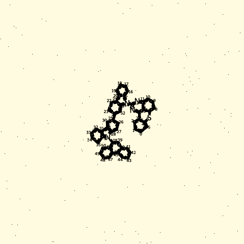 c1ccc2c(c1)Sc1cccc3nc(-n4c5ccccc5c5ccc(-c6ccc7c(c6)c6ccccc6n7-c6cc7ccccc7c7ccccc67)cc54)nc-2c13